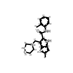 Cc1cc2[nH]c(C(=O)Nc3ccccc3C)c(CN3CCOCC3)c2s1